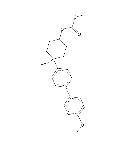 COC(=O)OC1CCC(O)(c2ccc(-c3ccc(OC)cc3)cc2)CC1